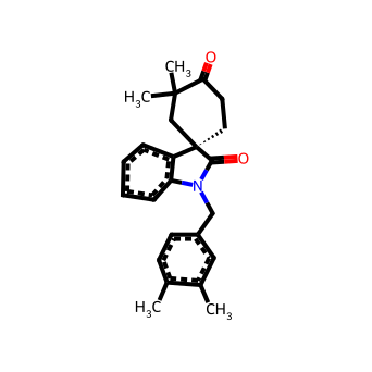 Cc1ccc(CN2C(=O)[C@@]3(CCC(=O)C(C)(C)C3)c3ccccc32)cc1C